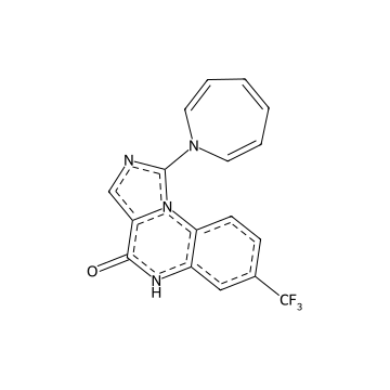 O=c1[nH]c2cc(C(F)(F)F)ccc2n2c(N3C=CC=CC=C3)ncc12